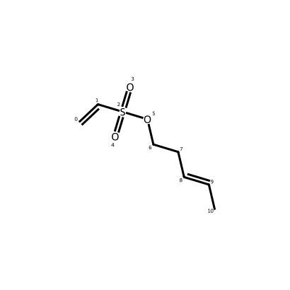 C=CS(=O)(=O)OCCC=CC